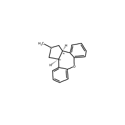 CN1C[C@@H]2c3ccccc3Oc3ccccc3[C@@H]2C1